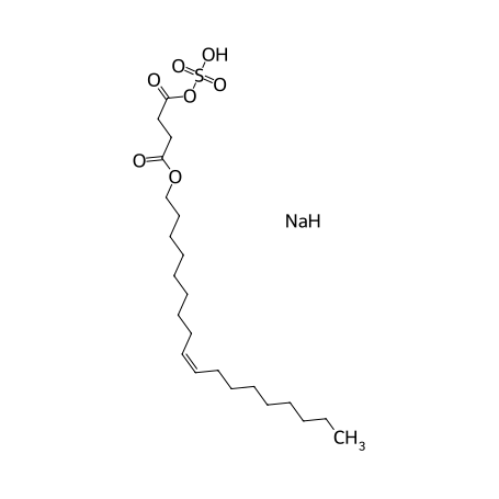 CCCCCCCC/C=C\CCCCCCCCOC(=O)CCC(=O)OS(=O)(=O)O.[NaH]